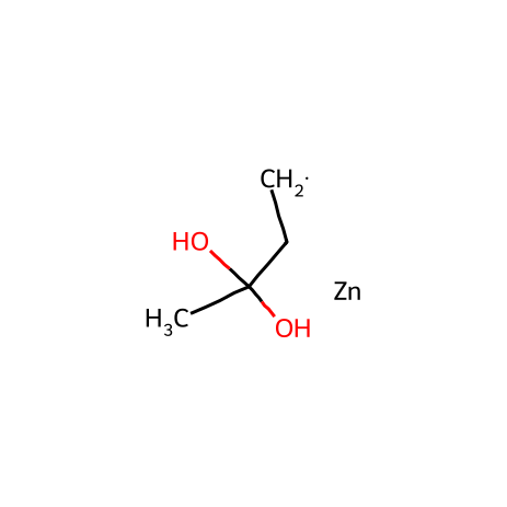 [CH2]CC(C)(O)O.[Zn]